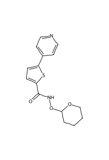 O=C(NOC1CCCCO1)c1ccc(-c2ccncc2)s1